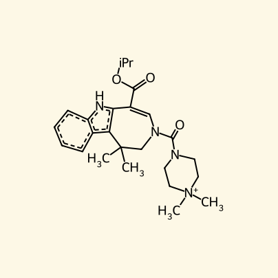 CC(C)OC(=O)C1=CN(C(=O)N2CC[N+](C)(C)CC2)CC(C)(C)c2c1[nH]c1ccccc21